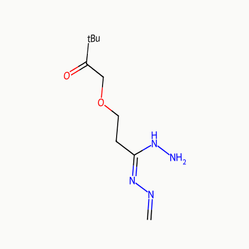 C=N/N=C(/CCOCC(=O)C(C)(C)C)NN